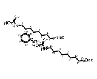 CCCCCCCCCCCCCCCCCCNC(O)=S.CCCCCCCCCCCCCCCCCCNC(O)=S.Cc1ccccc1